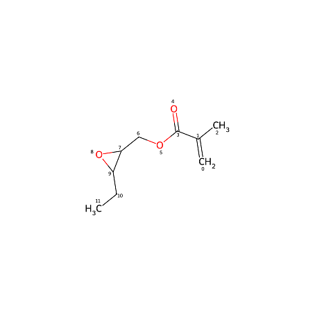 C=C(C)C(=O)OCC1OC1CC